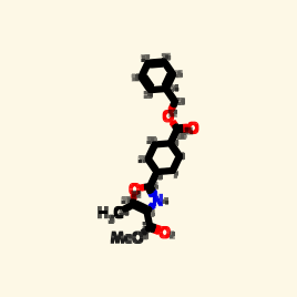 COC(=O)c1nc(C2CCC(C(=O)OCc3ccccc3)CC2)oc1C